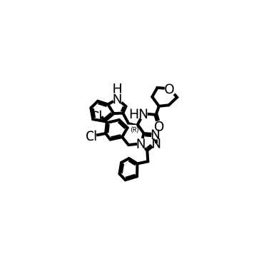 O=C(N[C@H](Cc1c[nH]c2ccccc12)c1nnc(Cc2ccccc2)n1Cc1ccc(Cl)c(Cl)c1)C1CCOCC1